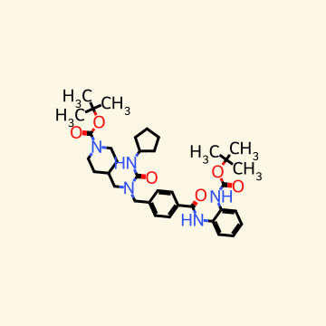 CC(C)(C)OC(=O)Nc1ccccc1NC(=O)c1ccc(CN(CC2CCN(C(=O)OC(C)(C)C)CC2)C(=O)NC2CCCC2)cc1